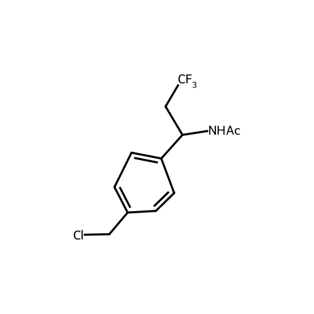 CC(=O)NC(CC(F)(F)F)c1ccc(CCl)cc1